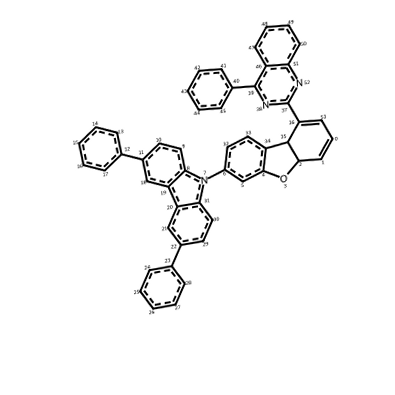 C1=CC2Oc3cc(-n4c5ccc(-c6ccccc6)cc5c5cc(-c6ccccc6)ccc54)ccc3C2C(c2nc(-c3ccccc3)c3ccccc3n2)=C1